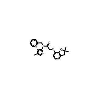 Cc1csc(N(Cc2ccccn2)C(=O)COc2cccc3c2OC(C)(C)C3)n1